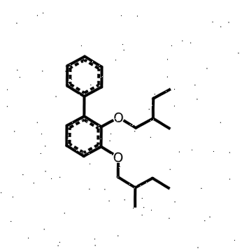 CCC(C)COc1cccc(-c2ccccc2)c1OCC(C)CC